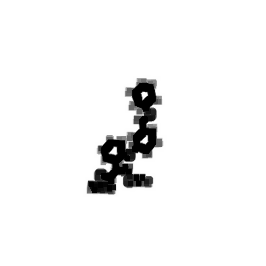 CNC(=O)C(=NOC)c1ccccc1Oc1cccc(COc2ccccc2)c1